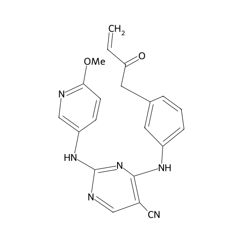 C=CC(=O)Cc1cccc(Nc2nc(Nc3ccc(OC)nc3)ncc2C#N)c1